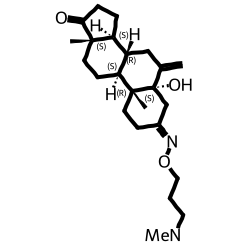 C=C1C[C@H]2[C@@H]3CCC(=O)[C@@]3(C)CC[C@@H]2[C@@]2(C)CCC(=NOCCCNC)C[C@]12O